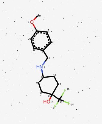 COc1ccc(CNC2CCC(O)(C(F)(F)F)CC2)cc1